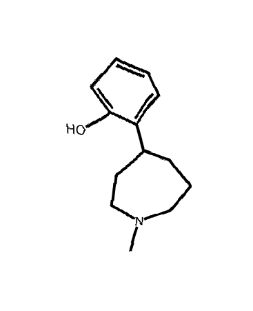 CN1CCCC(c2ccccc2O)CC1